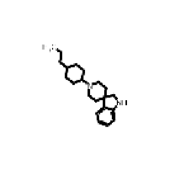 CCCC1CCC(N2CCC3(CC2)CNc2ccccc23)CC1